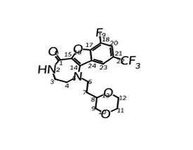 O=C1NCCN(CCC2COCCO2)c2c1oc1c(F)cc(C(F)(F)F)cc21